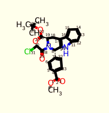 COC(=O)c1ccc([C@H]2c3[nH]c4ccccc4c3C[C@H](C(=O)OC(C)(C)C)N2C(=O)CCl)cc1